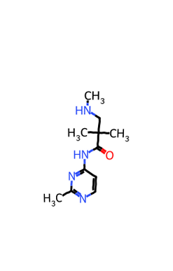 CNCC(C)(C)C(=O)Nc1ccnc(C)n1